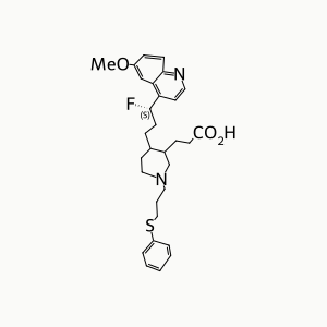 COc1ccc2nccc([C@@H](F)CCC3CCN(CCCSc4ccccc4)CC3CCC(=O)O)c2c1